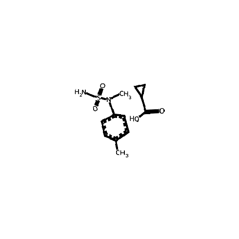 Cc1ccc(N(C)S(N)(=O)=O)cc1.O=C(O)C1CC1